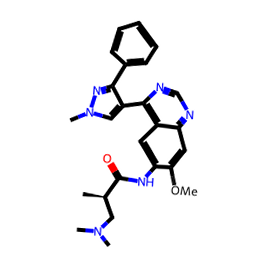 COc1cc2ncnc(-c3cn(C)nc3-c3ccccc3)c2cc1NC(=O)[C@H](C)CN(C)C